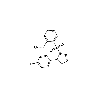 NCc1ccccc1S(=O)(=O)N1C=CSC1c1ccc(F)cc1